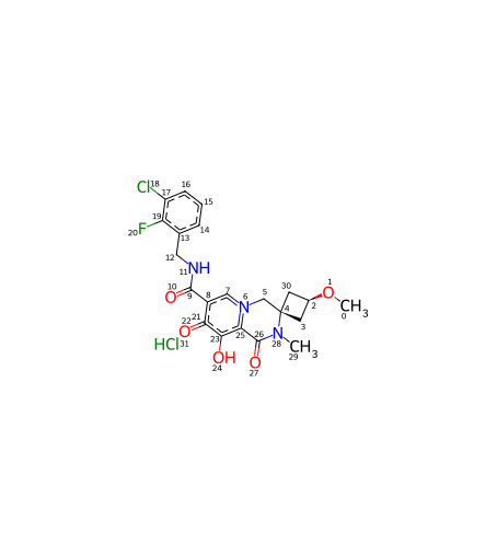 CO[C@H]1C[C@@]2(Cn3cc(C(=O)NCc4cccc(Cl)c4F)c(=O)c(O)c3C(=O)N2C)C1.Cl